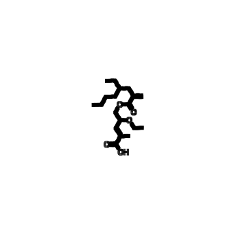 C=C(CC(CC)CCCC)C(=O)OCC(C=C(C)C(=O)O)OCC